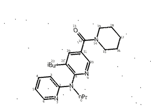 CCCN(c1ccccn1)c1ncc(C(=O)N2CCCCC2)cc1C(C)CC